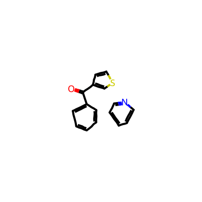 O=C(c1ccccc1)c1ccsc1.c1ccncc1